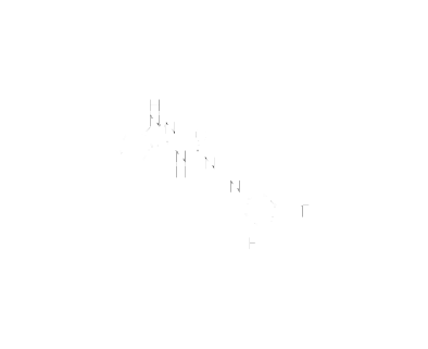 O=C(Nc1n[nH]c2ccccc12)N1CCN(c2cc(F)cc(CF)c2)CC1